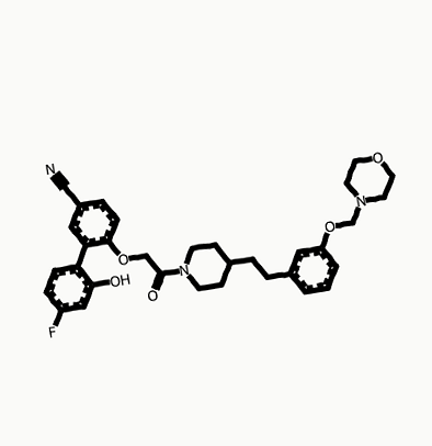 N#Cc1ccc(OCC(=O)N2CCC(CCc3cccc(OCN4CCOCC4)c3)CC2)c(-c2ccc(F)cc2O)c1